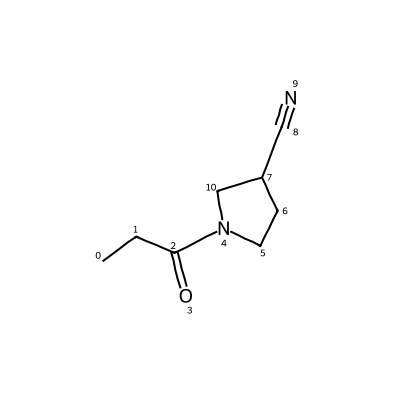 CCC(=O)N1CCC(C#N)C1